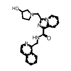 O=C(NCc1nccc2ccccc12)c1nc(CN2CCC(O)C2)n2ccccc12